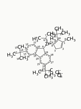 CC1=CC[C]([Zr+2](=[C](C)C)[CH]2c3ccc(C(C)(C)C)cc3-c3cc(C(C)(C)C)ccc32)=C1C(C)(C)C.[Cl-].[Cl-]